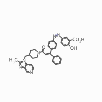 Cc1nc2cnccc2n1CC1CCN(C(=O)C=C(c2ccccc2)c2ccc(/N=N\c3ccc(O)c(C(=O)O)c3)cc2)CC1